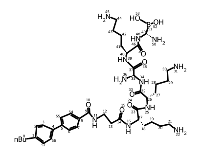 CCCCc1ccc(-c2ccc(C(=O)NCCC(=O)N[C@@H](CCCCN)C(=O)N[C@@H](CCCCN)C(=O)N[C@@H](N)C(=O)N[C@@H](CCCCN)C(=O)N[C@@H](N)B(O)O)cc2)cc1